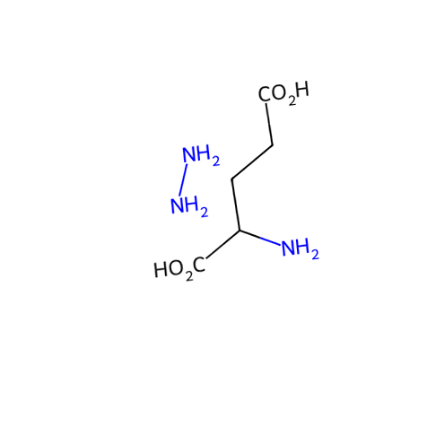 NC(CCC(=O)O)C(=O)O.NN